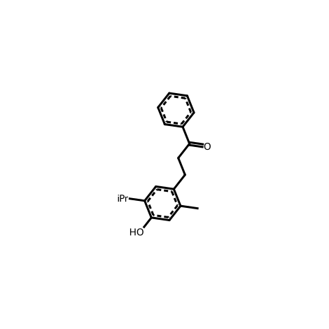 Cc1cc(O)c(C(C)C)cc1CCC(=O)c1ccccc1